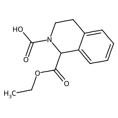 CCOC(=O)C1c2ccccc2CCN1C(=O)O